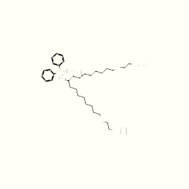 CC(C)(C)[Si](OC(CCCCCCCCSCCO)CCCCCCCCSCCO)(c1ccccc1)c1ccccc1